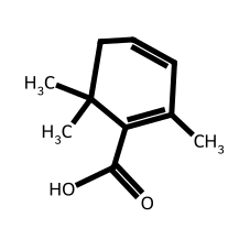 CC1=C(C(=O)O)C(C)(C)CC=C1